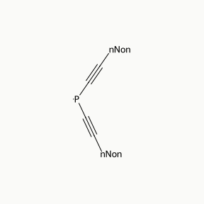 CCCCCCCCCC#C[P]C#CCCCCCCCCC